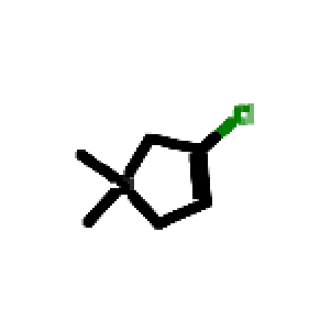 C[Si]1(C)CC=C(Cl)C1